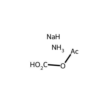 CC(=O)OC(=O)O.N.[NaH]